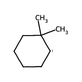 CC1(C)[C]CCCC1